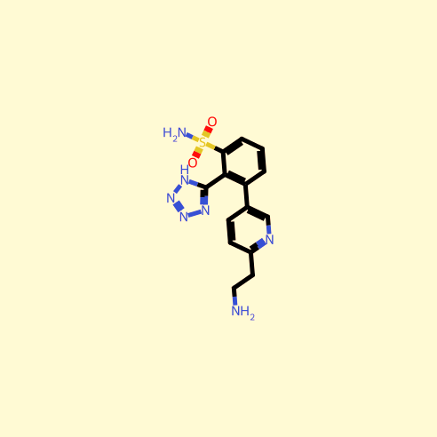 NCCc1ccc(-c2cccc(S(N)(=O)=O)c2-c2nnn[nH]2)cn1